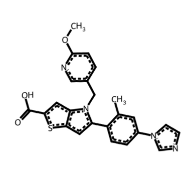 COc1ccc(Cn2c(-c3ccc(-n4ccnc4)cc3C)cc3sc(C(=O)O)cc32)cn1